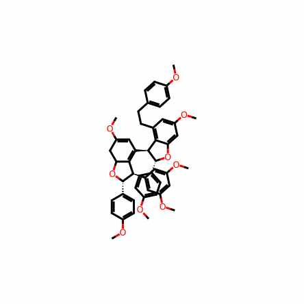 COC1=CC([C@H]2c3c(CCc4ccc(OC)cc4)cc(OC)cc3O[C@@H]2c2ccc(OC)cc2)=C2C(C1)O[C@@H](c1ccc(OC)cc1)[C@@H]2c1cc(OC)cc(OC)c1